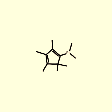 CC1=C(C)C(C)(C)[C]([Pt]([CH3])[CH3])=C1C